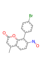 Cc1cc(=O)oc2c(-c3ccc(Br)cc3)c(N=O)ccc12